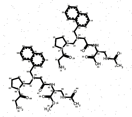 CC(=O)NC[C@H](NC(=O)CN(Cc1cccc2ccccc12)C[C@@H]1CCCN1C(=O)CN)C(=O)O.COC(=O)[C@H](CNC(C)=O)NC(=O)CN(Cc1cccc2ccccc12)C[C@@H]1CCCN1C(=O)CN